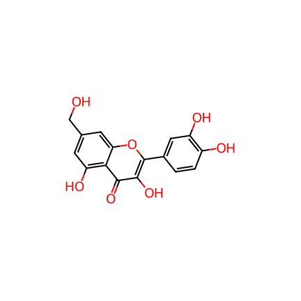 O=c1c(O)c(-c2ccc(O)c(O)c2)oc2cc(CO)cc(O)c12